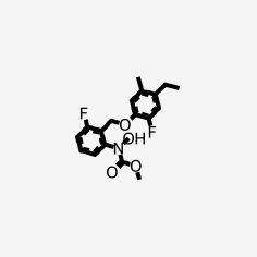 CCc1cc(F)c(OCc2c(F)cccc2N(O)C(=O)OC)cc1C